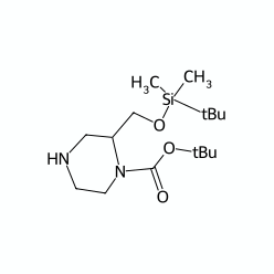 CC(C)(C)OC(=O)N1CCNCC1CO[Si](C)(C)C(C)(C)C